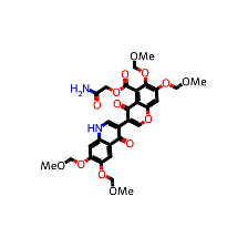 COCOc1cc2[nH]cc(-c3coc4cc(OCOC)c(OCOC)c(C(=O)OCC(N)=O)c4c3=O)c(=O)c2cc1OCOC